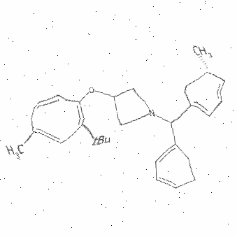 Cc1ccc(OC2CN(C(C3=CC=CCC3)C3=CC=C[C@@H](C)C3)C2)c(C(C)(C)C)c1